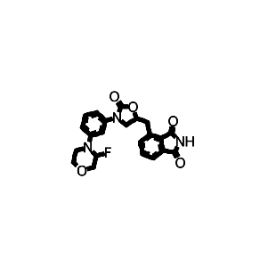 O=C1NC(=O)c2c(CC3CN(c4cccc(N5CCOCC5F)c4)C(=O)O3)cccc21